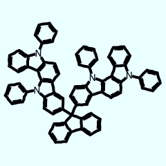 c1ccc(-n2c3ccccc3c3c2ccc2c4cc(C5(c6ccc7c(c6)c6ccc8c(c9ccccc9n8-c8ccccc8)c6n7-c6ccccc6)c6ccccc6-c6ccccc65)ccc4n(-c4ccccc4)c23)cc1